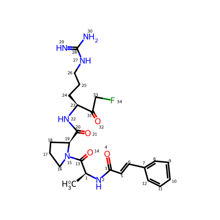 C[C@H](NC(=O)/C=C/c1ccccc1)C(=O)N1CCC[C@H]1C(=O)N[C@@H](CCCNC(=N)N)C(=O)CF